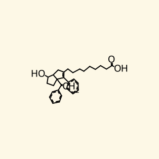 C=C(c1ccccc1)C12CCC(O)C1CC(CCCCCCCCC(=O)O)=C2c1ccccc1